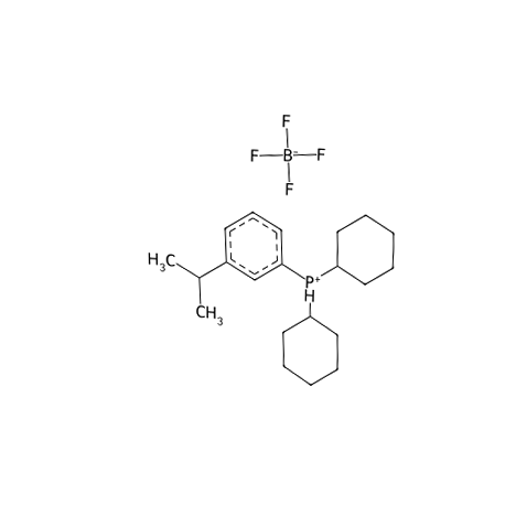 CC(C)c1cccc([PH+](C2CCCCC2)C2CCCCC2)c1.F[B-](F)(F)F